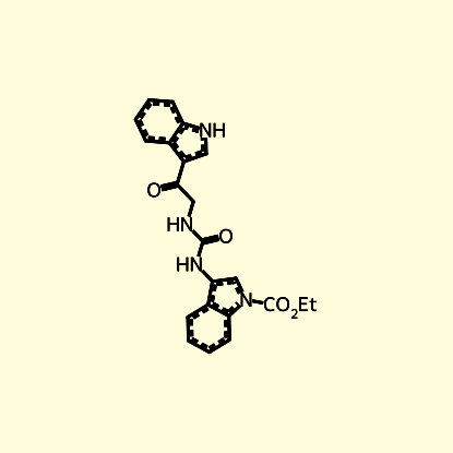 CCOC(=O)n1cc(NC(=O)NCC(=O)c2c[nH]c3ccccc23)c2ccccc21